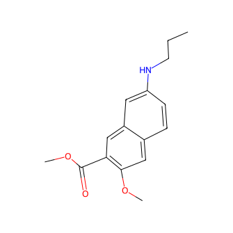 CCCNc1ccc2cc(OC)c(C(=O)OC)cc2c1